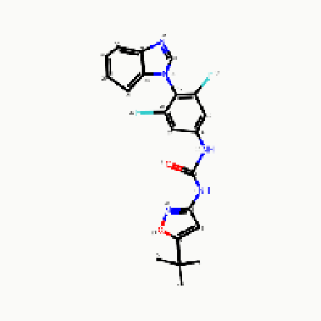 CC(C)(C)c1cc(NC(=O)Nc2cc(F)c(-n3cnc4ccccc43)c(F)c2)no1